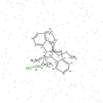 CCCC1=Cc2ccccc2[CH]1[Ti]([CH3])([CH3])(=[SiH2])[CH]1C(CCC)=Cc2ccccc21.Cl.Cl